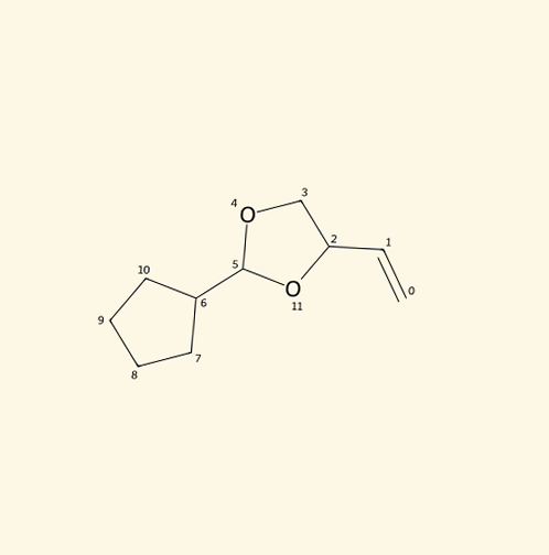 C=CC1COC(C2CCCC2)O1